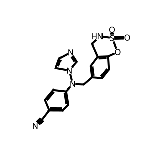 N#Cc1ccc(N(Cc2ccc3c(c2)CNS(=O)(=O)O3)n2ccnc2)cc1